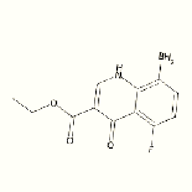 Bc1ccc(F)c2c(=O)c(C(=O)OCC)c[nH]c12